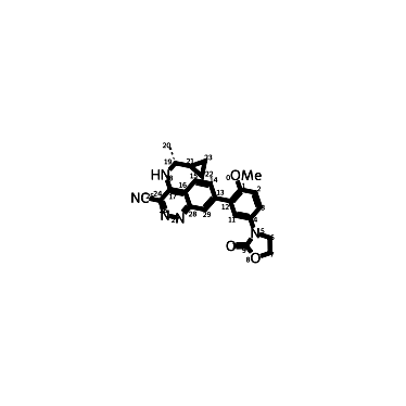 COc1ccc(N2CCOC2=O)cc1-c1ccc2c(N[C@H](C)C3CC3)c(C#N)nnc2c1